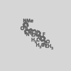 CNc1ccn(-c2ccnc3c2cc(CN2CC=C(c4c(C)cc(C(=O)N(C)C)cc4F)CC2)n3C)c(=O)c1